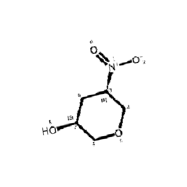 O=[N+]([O-])[C@H]1COC[C@@H](O)C1